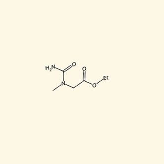 CCOC(=O)CN(C)C(N)=O